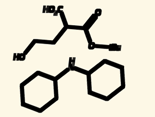 C1CCC(NC2CCCCC2)CC1.CC(C)(C)OC(=O)C(CCO)C(=O)O